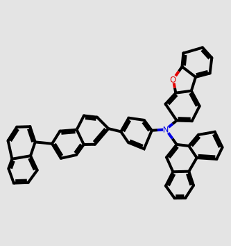 c1ccc2c(-c3ccc4cc(-c5ccc(N(c6ccc7c(c6)oc6ccccc67)c6cc7ccccc7c7ccccc67)cc5)ccc4c3)cccc2c1